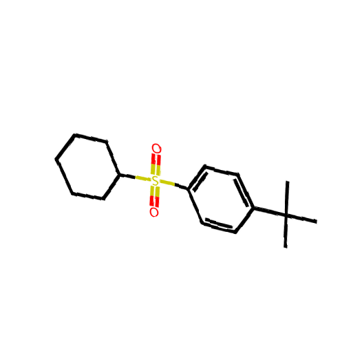 CC(C)(C)c1ccc(S(=O)(=O)C2CCCCC2)cc1